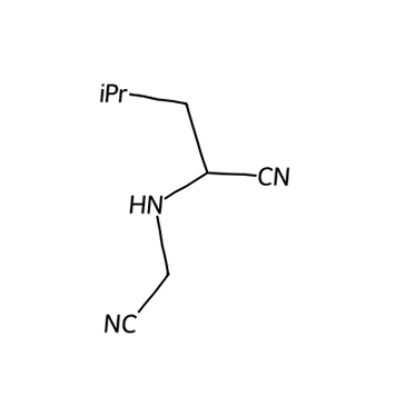 CC(C)CC(C#N)NCC#N